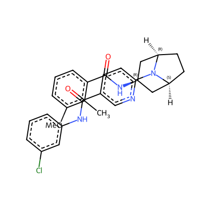 COc1cccc(C(=O)N[C@H]2C[C@H]3CC[C@@H](C2)N3c2ccc(C(=O)Nc3cccc(Cl)c3)cn2)c1C